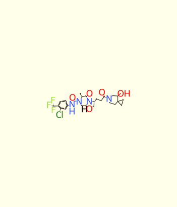 C[C@H]1C(=O)N2[C@@H](CCC(=O)N3CCC4(CC4)[C@H](O)C3)CO[C@H]2CN1C(=O)Nc1ccc(C(F)(F)F)c(Cl)c1